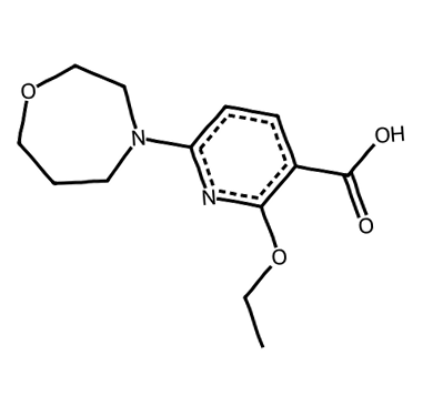 CCOc1nc(N2CCCOCC2)ccc1C(=O)O